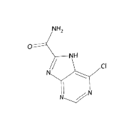 NC(=O)c1nc2ncnc(Cl)c2[nH]1